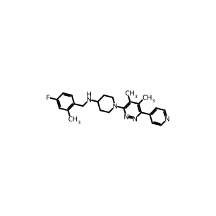 Cc1cc(F)ccc1CNC1CCN(c2nnc(-c3ccncc3)c(C)c2C)CC1